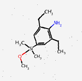 CCc1cc([Si](C)(C)OC)cc(CC)c1N